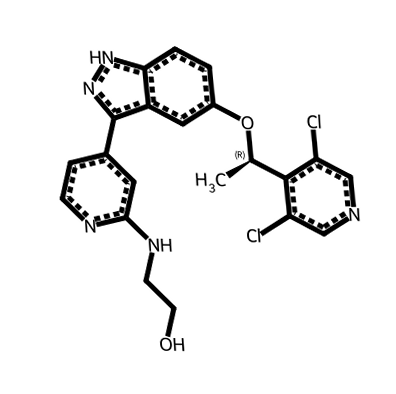 C[C@@H](Oc1ccc2[nH]nc(-c3ccnc(NCCO)c3)c2c1)c1c(Cl)cncc1Cl